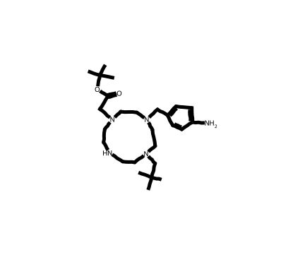 CC(C)(C)CN1CCNCCN(CC(=O)OC(C)(C)C)CCN(Cc2ccc(N)cc2)CC1